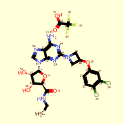 CCNC(=O)[C@@H]1O[C@@H](n2cnc3c(N)nc(N4CC(Oc5ccc(Cl)c(Cl)c5)C4)nc32)[C@@H](O)[C@H]1O.O=C(O)C(F)(F)F